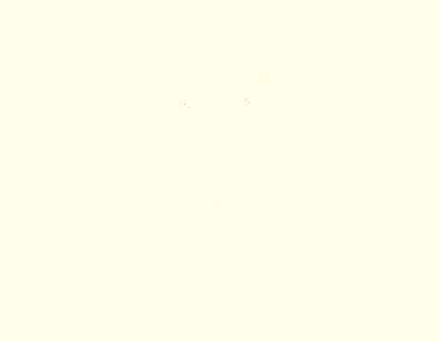 Cc1cc(Cl)c2cccc(OCc3c(Cl)ccc(N(C)C(=O)CN4C(=O)c5ccccc5C4=O)c3Cl)c2n1